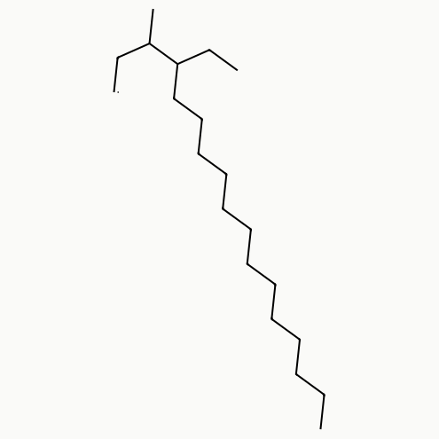 [CH2]CC(C)C(CC)CCCCCCCCCCCCC